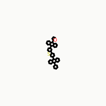 c1ccc(-c2c3ccccc3c(-c3ccc4c(c3)sc3ccc(-c5c6ccccc6c(-c6ccco6)c6ccccc56)cc34)c3ccccc23)cc1